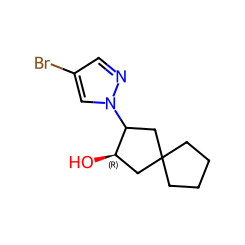 O[C@@H]1CC2(CCCC2)CC1n1cc(Br)cn1